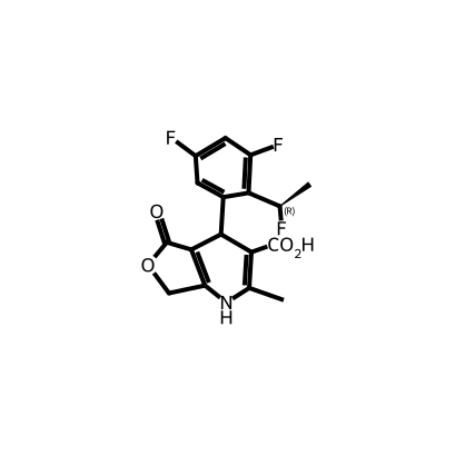 CC1=C(C(=O)O)C(c2cc(F)cc(F)c2[C@@H](C)F)C2=C(COC2=O)N1